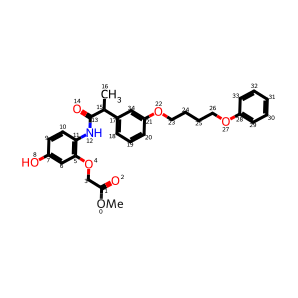 COC(=O)COc1cc(O)ccc1NC(=O)C(C)c1cccc(OCCCCOc2ccccc2)c1